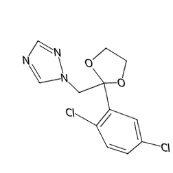 Clc1ccc(Cl)c(C2(Cn3cncn3)OCCO2)c1